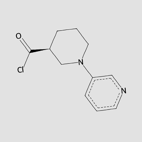 O=C(Cl)[C@H]1CCCN(c2cccnc2)C1